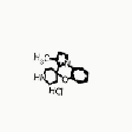 Cc1ccn2c1C1(CCNCC1)Oc1ccccc1-2.Cl